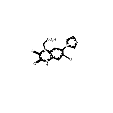 O=C(O)Cn1c(=O)c(=O)[nH]c2cc(Cl)c(-n3ccnc3)cc21